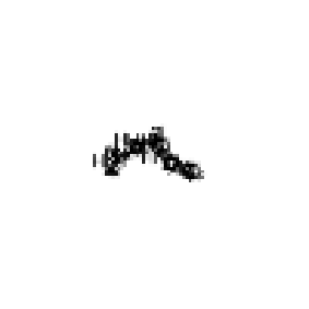 CN1CCN(c2ccc(Nc3ncc(Cl)c(Nc4ccc(CNS(=O)(=O)NC5CC5)cc4)n3)cc2)CC1